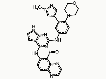 Cn1cc(-c2cc(Nc3nc(Nc4ccc5nccnc5c4P=O)c4cc[nH]c4n3)ccc2N2CCOCC2)cn1